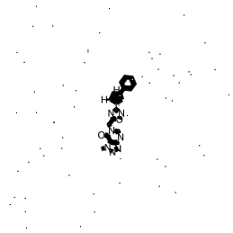 Cn1nnc2ncn(Cc3nc([C@]45C6=C(c7ccccc7)C[C@@H]4[C@H]65)no3)c(=O)c21